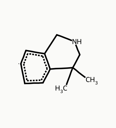 CC1(C)CNCc2c[c]ccc21